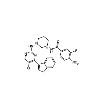 O=C(N[C@H]1CCC[C@@H](Nc2ncc(Cl)c(C3=CCc4ccccc43)n2)C1)c1ccc([N+](=O)[O-])c(F)c1